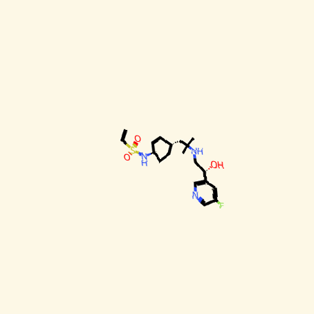 CCS(=O)(=O)N[C@H]1CC[C@H](CC(C)(C)NC[C@H](O)c2cncc(F)c2)CC1